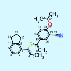 C=C(S/C(=C\C)c1cccc2c1CCC2)c1ccc(OC(C)C)c(C#N)c1